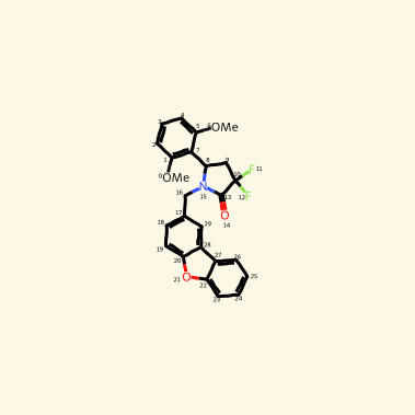 COc1cccc(OC)c1C1CC(F)(F)C(=O)N1Cc1ccc2oc3ccccc3c2c1